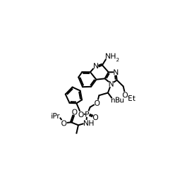 CCCCC(COCP(=O)(NC(C)C(=O)OC(C)C)Oc1ccccc1)n1c(COCC)nc2c(N)nc3ccccc3c21